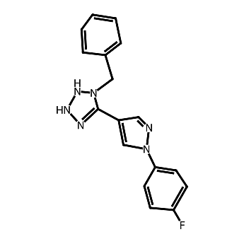 Fc1ccc(-n2cc(C3=NNNN3Cc3ccccc3)cn2)cc1